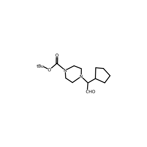 CC(C)(C)OC(=O)N1CCN(C(C=O)C2CCCC2)CC1